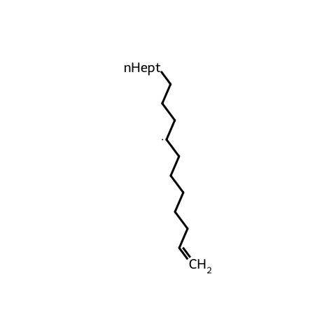 C=CCCCCC[CH]CCCCCCCCCC